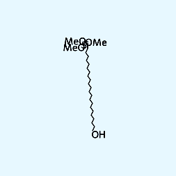 CO[Si](CCCCCCCCCCCCCCCCCCCCCCO)(OC)OC